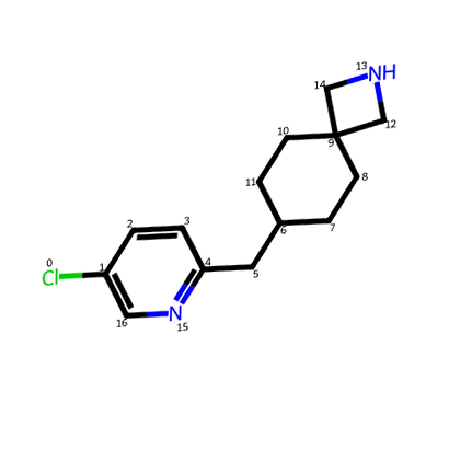 Clc1ccc(CC2CCC3(CC2)CNC3)nc1